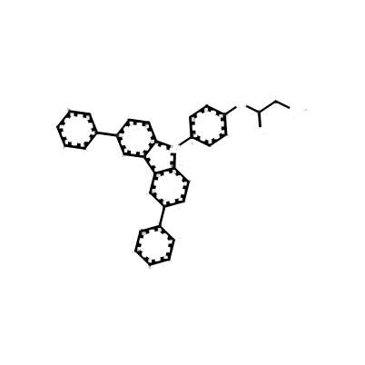 CCCCCCCCCCCC(S)Oc1ccc(-n2c3ccc(-c4ccccc4)cc3c3cc(-c4ccccc4)ccc32)cc1